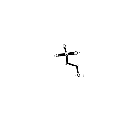 [O]S(=O)(=O)CCO